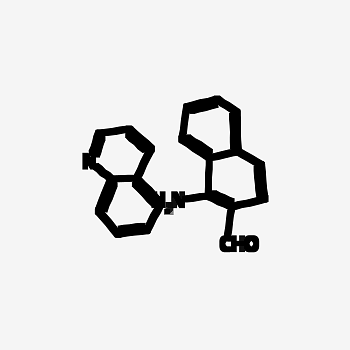 Nc1c(C=O)ccc2ccccc12.c1ccc2ncccc2c1